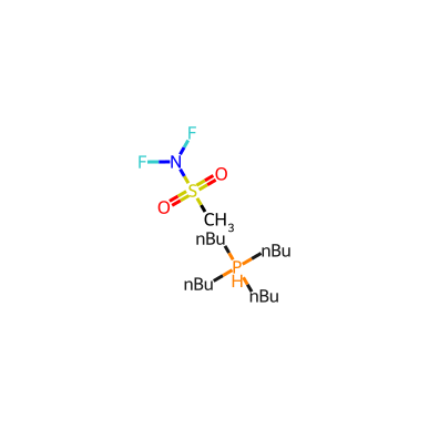 CCCC[PH](CCCC)(CCCC)CCCC.CS(=O)(=O)N(F)F